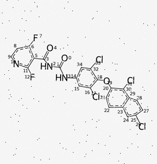 O=C(NC(=O)c1c(F)ccnc1F)Nc1cc(Cl)c(Oc2ccc3cc(Cl)ccc3c2Cl)c(Cl)c1